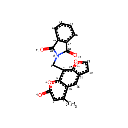 Cc1cc(=O)oc2c(CN3C(=O)c4ccccc4C3=O)c3occc3cc12